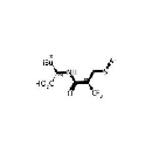 CC[C@H](C)[C@H](NC(=O)[C@@H](CSC(C)=O)C(F)(F)F)C(=O)O